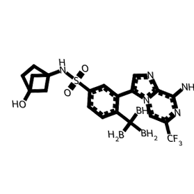 BC(B)(B)c1ccc(S(=O)(=O)NC23CCC(O)(C2)C3)cc1-c1cnc2c(N)nc(C(F)(F)F)cn12